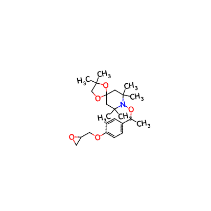 CC(ON1C(C)(C)CC2(CC1(C)C)OCC(C)(C)O2)c1ccc(OCC2CO2)cc1